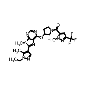 CCn1ncc(-c2nc3c(OC4CCN(C(=O)c5cc(C(F)(F)F)nn5C)C4)ncnc3n2C)c1C